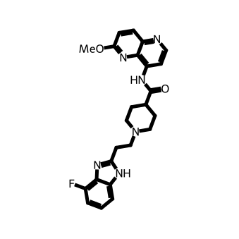 COc1ccc2nccc(NC(=O)C3CCN(CCc4nc5c(F)cccc5[nH]4)CC3)c2n1